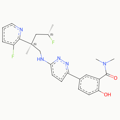 C[C@H](F)C[C@@](C)(CNc1ccc(-c2ccc(O)c(C(=O)N(C)C)c2)nn1)c1ncccc1F